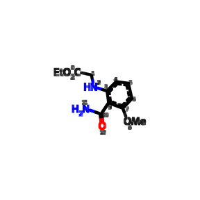 CCOC(=O)CNc1cccc(OC)c1C(N)=O